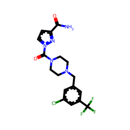 NC(=O)c1ccn(C(=O)N2CCN(Cc3cc(Cl)cc(C(F)(F)F)c3)CC2)n1